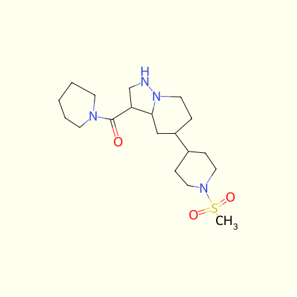 CS(=O)(=O)N1CCC(C2CCN3NCC(C(=O)N4CCCCC4)C3C2)CC1